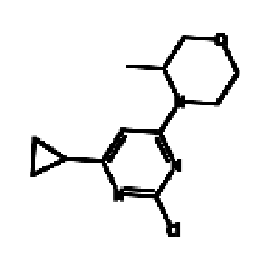 CC1COCCN1c1cc(C2CC2)nc(Cl)n1